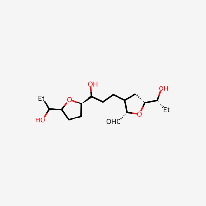 CCC(O)[C@@H]1CC[C@H](C(O)CCC2C[C@H]([C@H](O)CC)O[C@@H]2C=O)O1